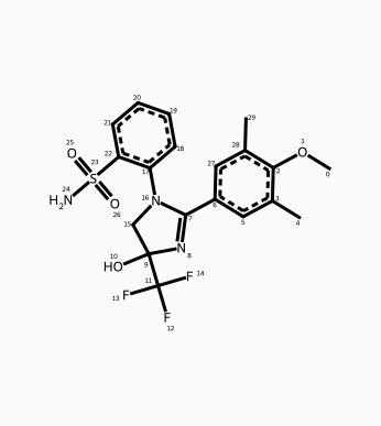 COc1c(C)cc(C2=NC(O)(C(F)(F)F)CN2c2ccccc2S(N)(=O)=O)cc1C